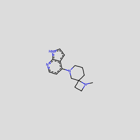 CN1CCC12CCCN(c1ccnc3[nH]ccc13)C2